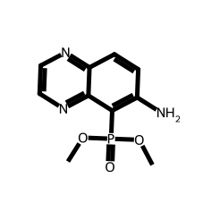 COP(=O)(OC)c1c(N)ccc2nccnc12